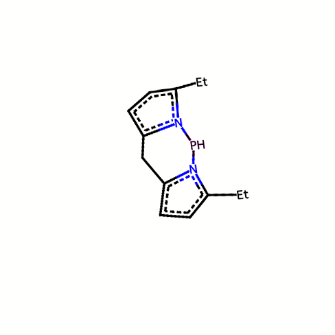 CCc1ccc2n1Pn1c(CC)ccc1C2